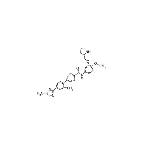 COc1ccc(NC(=O)c2ccc(-c3ccc(-c4noc(C)n4)cc3C)cc2)cc1OCC1CCCN1